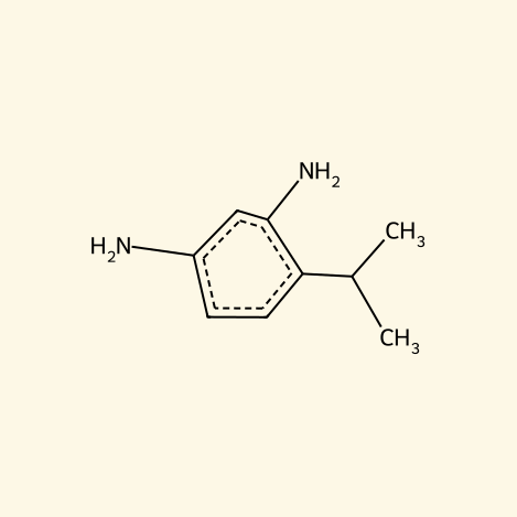 CC(C)c1ccc(N)cc1N